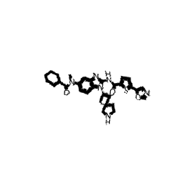 CN(C(=O)C1CCCCC1)c1ccc2c(c1)nc(NC(=O)c1ccc(-c3cnco3)s1)n2[C@H]1C[C@@]2(CCNC2)C1